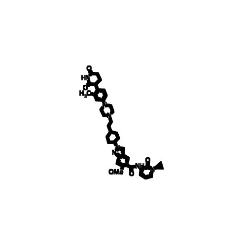 COc1cc2nn(C3CCC(CCN4CCN(c5ccc(C6CCC(=O)NC6=O)c(C)c5)CC4)CC3)cc2cc1C(=O)Nc1cccn(C2CC2)c1=O